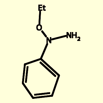 CCON(N)c1ccccc1